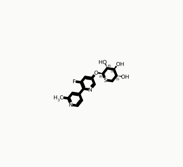 Cc1cc(-c2ncc(O[C@@H]3SC[C@@H](O)[C@H](O)[C@H]3O)cc2F)ccn1